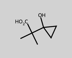 CC(C)(C(=O)O)C1(O)CC1